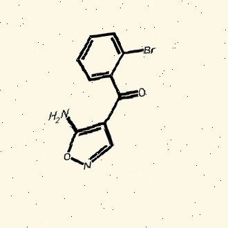 Nc1oncc1C(=O)c1ccccc1Br